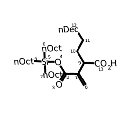 C=C(C(=O)O[Si](CCCCCCCC)(CCCCCCCC)CCCCCCCC)C(CCCCCCCCCCCC)C(=O)O